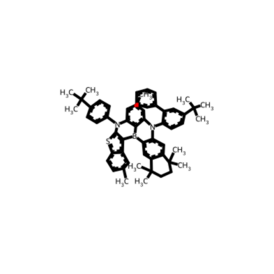 Cc1cc2c3c(c1)N(c1ccc(C(C)(C)C)cc1)c1sc4ccc(C)cc4c1B3c1cc3c(cc1N2c1ccc(C(C)(C)C)cc1-c1ccccc1)C(C)(C)CCC3(C)C